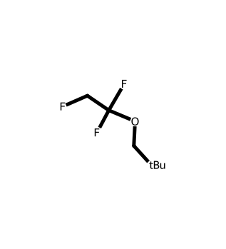 CC(C)(C)COC(F)(F)CF